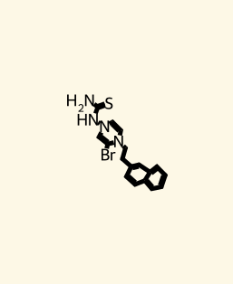 NC(=S)NN1C=CN(CCc2ccc3ccccc3c2)C(Br)=C1